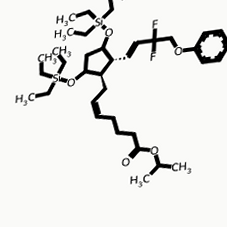 CC[Si](CC)(CC)OC1CC(O[Si](CC)(CC)CC)[C@H](C/C=C\CCCC(=O)OC(C)C)[C@H]1/C=C/C(F)(F)COc1ccccc1